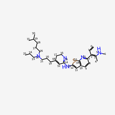 C=C/C(=C(/C)NC)c1ccc2cc(NC3=NCCC(CCCN(CCC)CCCC(C)C)=C3)sc2n1